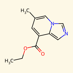 CCOC(=O)c1cc(C)cn2cncc12